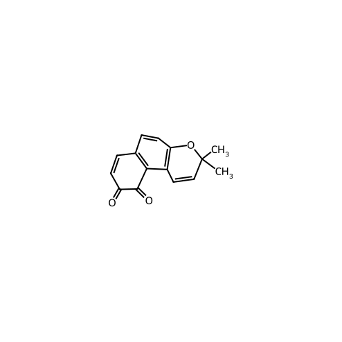 CC1(C)C=Cc2c(ccc3c2C(=O)C(=O)C=C3)O1